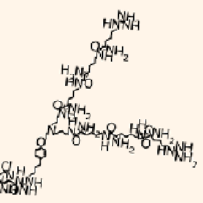 CC(N)(CCCCNC(=N)N)C(=O)NCCCC[C@H](N)C(=O)NCCCC[C@H](N)C(=O)NCCCN(CCCNC(=O)[C@@H](N)CCCCNC(=O)[C@@H](N)CCCCNC(=O)[C@@H](N)CCCCNC(=N)N)CCOc1ccc(CCCCNC(=N)NC(=O)c2nc(Cl)c(N)nc2N)cc1